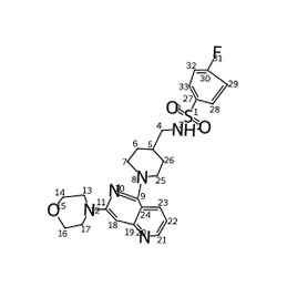 O=S(=O)(NCC1CCN(c2nc(N3CCOCC3)cc3ncccc23)CC1)c1ccc(F)cc1